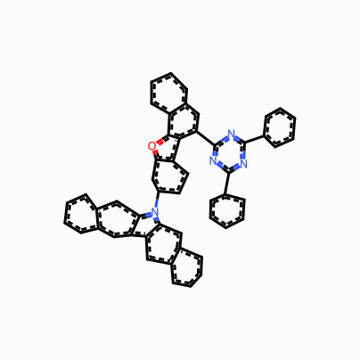 c1ccc(-c2nc(-c3ccccc3)nc(-c3cc4ccccc4c4oc5cc(-n6c7cc8ccccc8cc7c7cc8ccccc8cc76)ccc5c34)n2)cc1